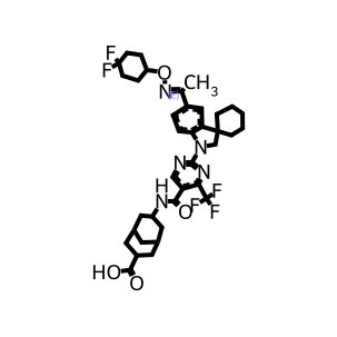 C/C(=N\OC1CCC(F)(F)CC1)c1ccc2c(c1)C1(CCCCC1)CN2c1ncc(C(=O)NC2CC3CC(C2)CC(C(=O)O)C3)c(C(F)(F)F)n1